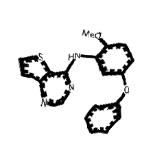 COc1ccc(Oc2ccccc2)cc1Nc1ncnc2ccsc12